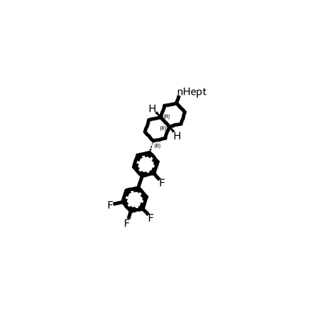 CCCCCCCC1CC[C@@H]2C[C@H](c3ccc(-c4cc(F)c(F)c(F)c4)c(F)c3)CC[C@@H]2C1